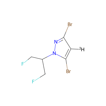 [2H]c1c(Br)nn(C(CF)CF)c1Br